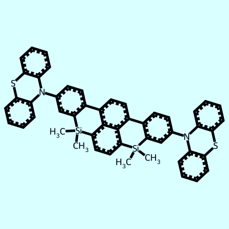 C[Si]1(C)c2cc(N3c4ccccc4Sc4ccccc43)ccc2-c2ccc3c4c(ccc1c24)[Si](C)(C)c1cc(N2c4ccccc4Sc4ccccc42)ccc1-3